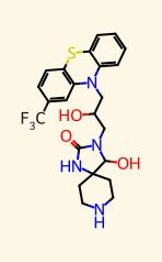 O=C1NC2(CCNCC2)C(O)N1CC(O)CN1c2ccccc2Sc2ccc(C(F)(F)F)cc21